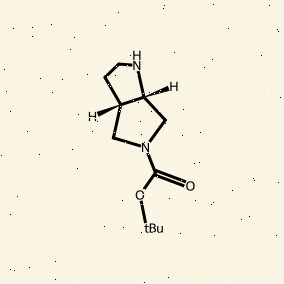 CC(C)(C)OC(=O)N1C[C@@H]2CCN[C@@H]2C1